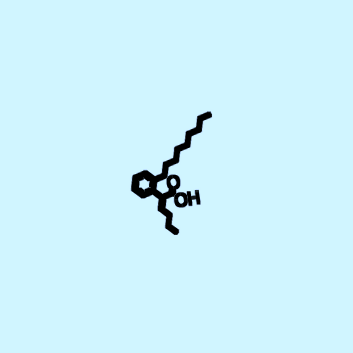 CCCC=C(C(=O)O)c1ccccc1CCCCCCCCC